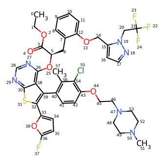 CCOC(=O)[C@@H](Cc1ccccc1OCc1ccnn1CC(F)(F)F)Oc1ncnc2sc(-c3ccc(F)o3)c(-c3ccc(OCCN4CCN(C)CC4)c(Cl)c3C)c12